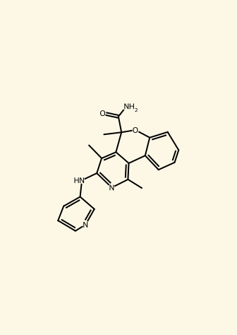 Cc1nc(Nc2cccnc2)c(C)c2c1-c1ccccc1OC2(C)C(N)=O